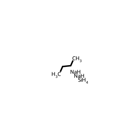 CCCC.[NaH].[NaH].[SiH4]